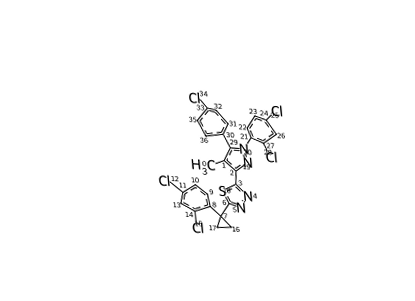 Cc1c(-c2nnc(C3(c4ccc(Cl)cc4Cl)CC3)s2)nn(-c2ccc(Cl)cc2Cl)c1-c1ccc(Cl)cc1